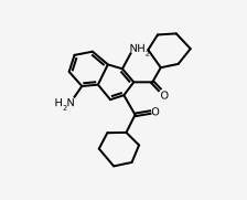 Nc1cccc2c(N)c(C(=O)C3CCCCC3)c(C(=O)C3CCCCC3)cc12